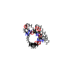 COC[C@@H]1[C@@H]2CN(C(=O)[C@H](C(C)(C)C)NC(=O)O[C@@H]3[C@H]4CC[C@H](C4)[C@H]3CCCCCc3nc4ccc(OC)cc4nc3O2)[C@@H]1C(C)=O